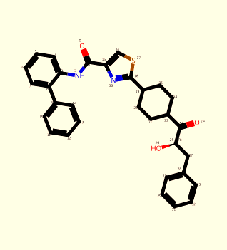 O=C(Nc1ccccc1-c1ccccc1)c1csc(C2CCC(C(=O)[C@H](O)Cc3ccccc3)CC2)n1